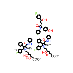 CC(C)c1c(C(=O)Nc2ccccc2)c(-c2ccccc2)c(-c2ccc(F)cc2)n1CC[C@@H](O)C[C@@H](O)CC(=O)[O-].CC(C)c1c(C(=O)Nc2ccccc2)c(-c2ccccc2)c(-c2ccc(F)cc2)n1CC[C@@H](O)C[C@@H](O)CC(=O)[O-].O=C1[C@H](CC[C@H](O)c2ccc(F)cc2)[C@@H](c2ccc(O)cc2)N1c1ccc(F)cc1.[Ca+2]